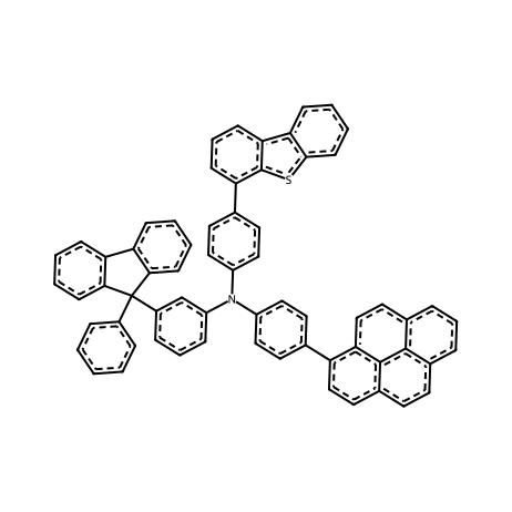 c1ccc(C2(c3cccc(N(c4ccc(-c5ccc6ccc7cccc8ccc5c6c78)cc4)c4ccc(-c5cccc6c5sc5ccccc56)cc4)c3)c3ccccc3-c3ccccc32)cc1